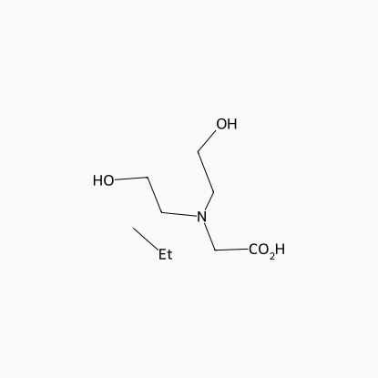 CCC.O=C(O)CN(CCO)CCO